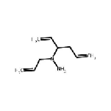 C=CCC(C=C)N(N)CC=C